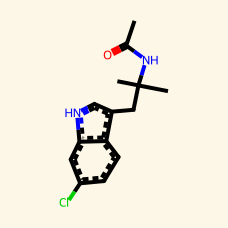 CC(=O)NC(C)(C)Cc1c[nH]c2cc(Cl)ccc12